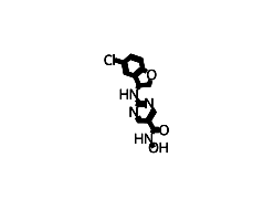 O=C(NO)c1cnc(NC2COc3ccc(Cl)cc32)nc1